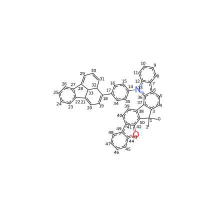 CC1(C)c2ccc3c4ccccc4n(-c4ccc(C5=CC=C6c7ccccc7C7=CC=CC5C76)cc4)c3c2-c2ccc3c(oc4ccccc43)c21